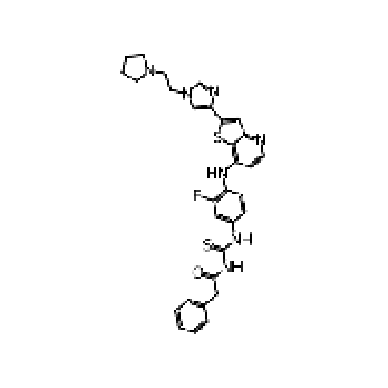 O=C(Cc1ccccc1)NC(=S)Nc1ccc(Nc2ccnc3cc(-c4cn(CCN5CCCC5)cn4)sc23)c(F)c1